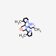 CCCC(N)N1C(c2ncccc2C)COCC1c1ncccc1C